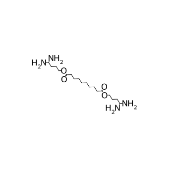 NC(N)CCCOC(=O)CCCCCCCCC(=O)OCCCC(N)N